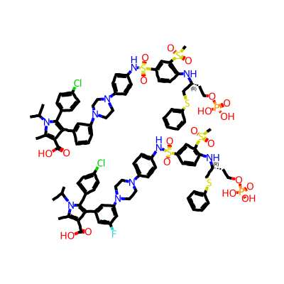 Cc1c(C(=O)O)c(-c2cc(F)cc(N3CCN(c4ccc(NS(=O)(=O)c5ccc(N[C@H](CCOP(=O)(O)O)CSc6ccccc6)c(S(C)(=O)=O)c5)cc4)CC3)c2)c(-c2ccc(Cl)cc2)n1C(C)C.Cc1c(C(=O)O)c(-c2cccc(N3CCN(c4ccc(NS(=O)(=O)c5ccc(N[C@H](CCOP(=O)(O)O)CSc6ccccc6)c(S(C)(=O)=O)c5)cc4)CC3)c2)c(-c2ccc(Cl)cc2)n1C(C)C